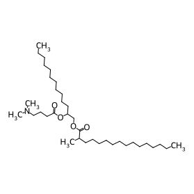 CCCCCCCCCCCCCCC(C)C(=O)OCC(CCCCCCCCCCC)OC(=O)CCCN(C)C